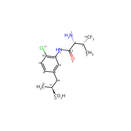 C[C@H]([C@@H](N)C(=O)Nc1cc(C[C@H](C)C(=O)O)ccc1Cl)C(F)(F)F